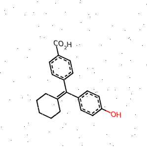 O=C(O)c1ccc(C(=C2CCCCC2)c2ccc(O)cc2)cc1